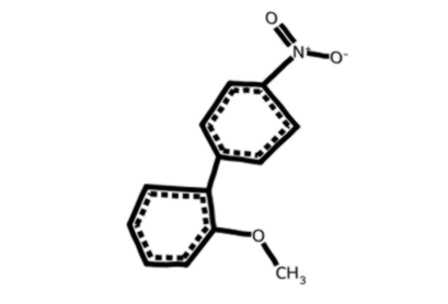 COc1ccccc1-c1ccc([N+](=O)[O-])cc1